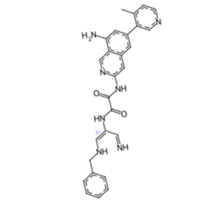 Cc1ccncc1-c1cc(N)c2cnc(NC(=O)C(=O)N/C(C=N)=C/NCc3ccccc3)cc2c1